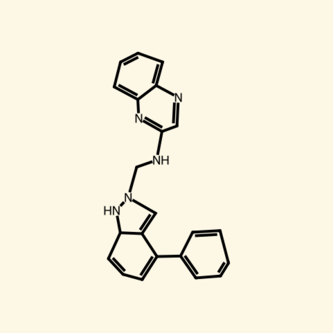 C1=CC2NN(CNc3cnc4ccccc4n3)C=C2C(c2ccccc2)=C1